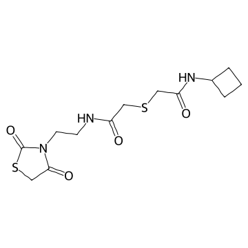 O=C(CSCC(=O)NC1CCC1)NCCN1C(=O)CSC1=O